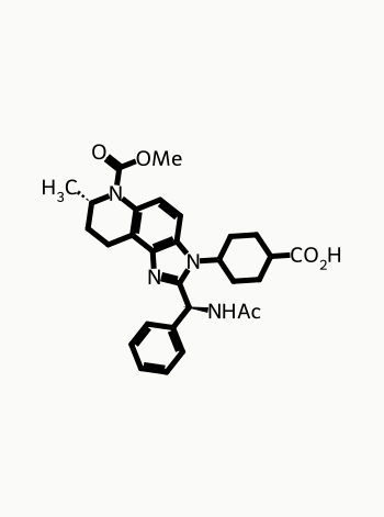 COC(=O)N1c2ccc3c(nc([C@@H](NC(C)=O)c4ccccc4)n3C3CCC(C(=O)O)CC3)c2CC[C@@H]1C